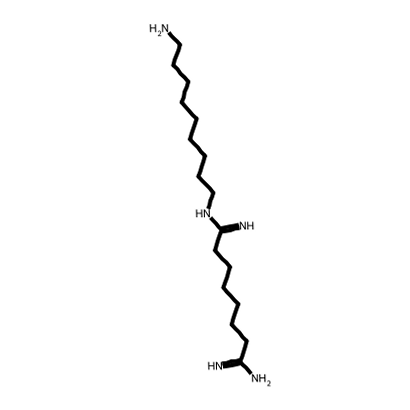 N=C(N)CCCCCCC(=N)NCCCCCCCCCN